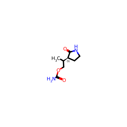 CC(COC(N)=O)[C@@H]1CCNC1=O